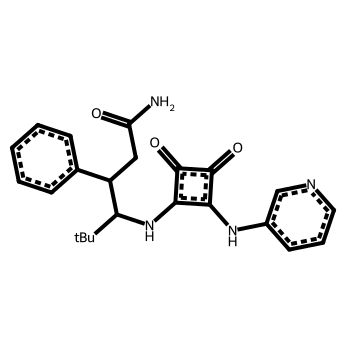 CC(C)(C)C(Nc1c(Nc2cccnc2)c(=O)c1=O)C(CC(N)=O)c1ccccc1